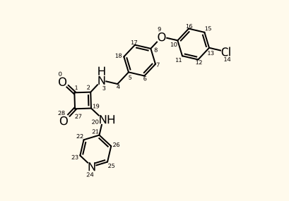 O=c1c(NCc2ccc(Oc3ccc(Cl)cc3)cc2)c(Nc2ccncc2)c1=O